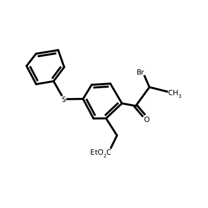 CCOC(=O)Cc1cc(Sc2ccccc2)ccc1C(=O)C(C)Br